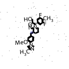 COc1cc(/C=C2\CCCN3C2=NOC(CO)[C@@H]3c2cc(F)c(C)c(F)c2)ccc1-n1cnc(C)c1